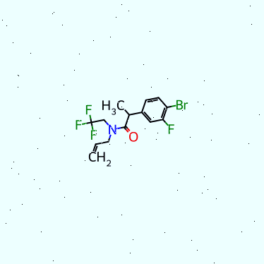 C=CCN(CC(F)(F)F)C(=O)C(C)c1ccc(Br)c(F)c1